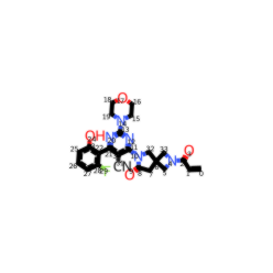 C=CC(=O)N1CC2(CC(=O)N(c3nc(N4CCOCC4)nc(-c4c(O)cccc4F)c3C#N)C2)C1